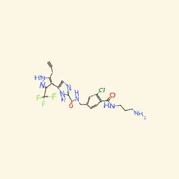 C#CCc1[nH]nc(C(F)(F)F)c1-c1cnc(C(=O)NCc2ccc(C(=O)NCCCN)c(Cl)c2)[nH]1